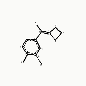 Cc1ccc(C(I)=C2CCC2)cc1C